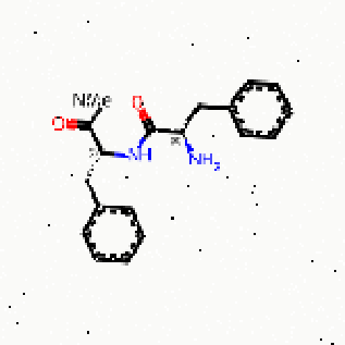 CNC(=O)[C@@H](Cc1ccccc1)NC(=O)[C@H](N)Cc1ccccc1